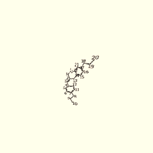 [CH2]CC(=Cc1ccc(CCC)cc1)Cc1ccc(CCC)cc1